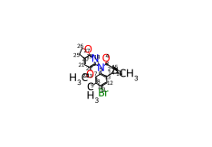 CC#CC(=O)N(c1cc(C)c(Br)cc1C1CC1)c1nc2c(cc1OC)CCO2